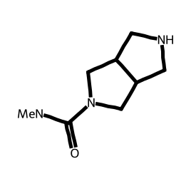 CNC(=O)N1CC2CNCC2C1